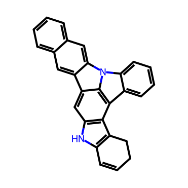 C1=Cc2[nH]c3cc4c5cc6ccccc6cc5n5c6ccccc6c(c3c2CC1)c45